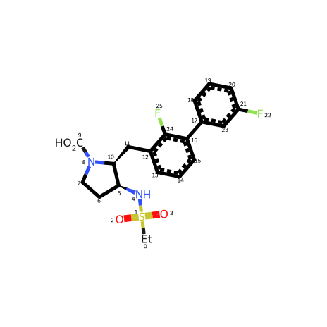 CCS(=O)(=O)N[C@H]1CCN(C(=O)O)[C@H]1Cc1cccc(-c2cccc(F)c2)c1F